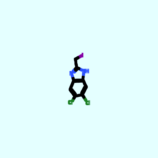 Clc1cc2nc(CI)[nH]c2cc1Cl